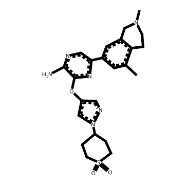 Cc1cc(-c2cnc(N)c(Oc3cnn(C4CCS(=O)(=O)CC4)c3)n2)cc2c1CCN(C)C2